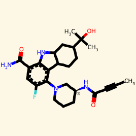 CC#CC(=O)N[C@H]1CCCN(c2c(F)cc(C(N)=O)c3c2C2CCC(C(C)(C)O)CC2N3)C1